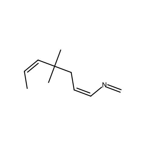 C=N/C=C\CC(C)(C)/C=C\C